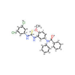 COc1ccc(N(C(=O)c2ccccc2)c2ccccc2)cc1NC(=S)Nc1cc(Cl)cc(Cl)c1